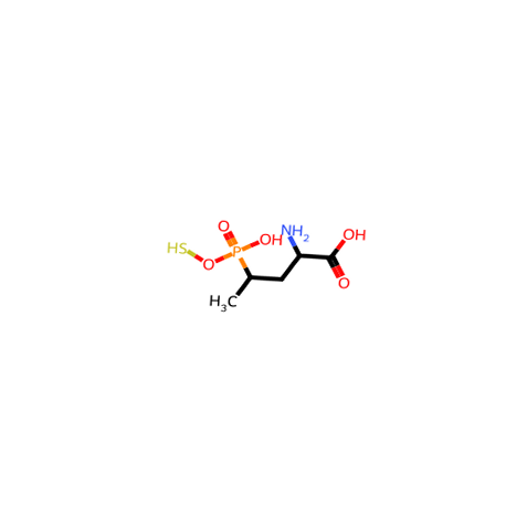 CC(CC(N)C(=O)O)P(=O)(O)OS